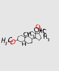 CO[C@H]1CC[C@]2(C)C3CC[C@@]4(C)C(CC[C@@H]4C(C)=O)C3CC[C@H]2C1